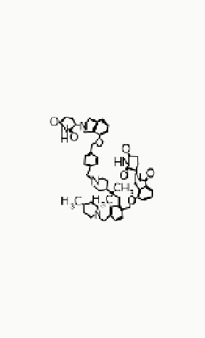 CC1CCN(Cc2ccc(COc3cccc4c3CN(C3CCC(=O)NC3=O)C4=O)c(CC(C)(C)C3CCN(Cc4ccc(COc5cccc6c5CN(C5CCC(=O)NC5=O)C6)cc4)CC3)c2)CC1